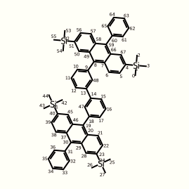 C[Si](C)(C)c1ccc2c(-c3cccc(-c4cccc(-c5c6ccc([Si](C)(C)C)cc6c(-c6ccccc6)c6ccc([Si](C)(C)C)cc56)c4)c3)c3cc([Si](C)(C)C)ccc3c(-c3ccccc3)c2c1